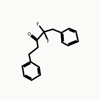 O=C(CCc1ccccc1)C(F)(F)Cc1ccccc1